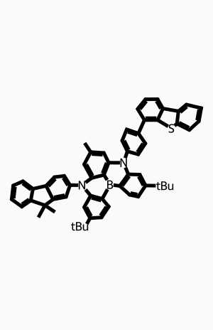 Cc1cc2c3c(c1)N(c1ccc4c(c1)C(C)(C)c1ccccc1-4)c1cc(C(C)(C)C)ccc1B3c1ccc(C(C)(C)C)cc1N2c1ccc(-c2cccc3c2sc2ccccc23)cc1